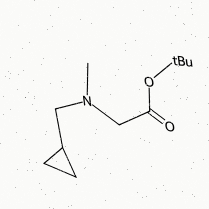 CN(CC(=O)OC(C)(C)C)CC1CC1